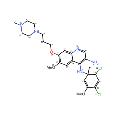 COC1=CC(C)(Nc2c(N)cnc3cc(OCCCN4CCN(C)CC4)c(OC)cc23)C(Cl)C=C1Cl